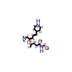 C\N=C/C(=C\C=C\C1CCNCC1)OC(C)CCC(=O)NC=O